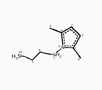 Cc1ccc(C)n1[SiH2]CC[SiH3]